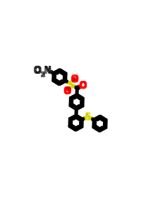 O=C(c1ccc(-c2ccccc2Sc2ccccc2)cc1)S(=O)(=O)c1ccc([N+](=O)[O-])cc1